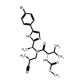 COC(=O)N[C@H](C(=O)N(C[C@H](C)C#N)[C@@H](C)c1ncc(-c2ccc(Br)cc2)[nH]1)C(C)C